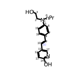 CCCN(CCO)c1ccc(/C=C/c2ccc(O)nc2)cc1